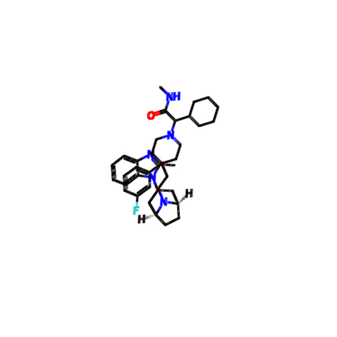 CNC(=O)C(C1CCCCC1)N1CCC(CCN2[C@@H]3CC[C@H]2CC(n2c(C)nc4ccccc42)C3)(c2cccc(F)c2)CC1